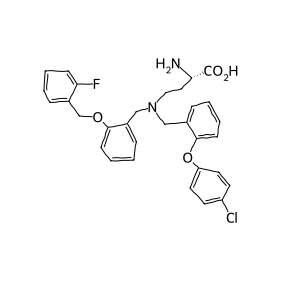 N[C@@H](CCN(Cc1ccccc1OCc1ccccc1F)Cc1ccccc1Oc1ccc(Cl)cc1)C(=O)O